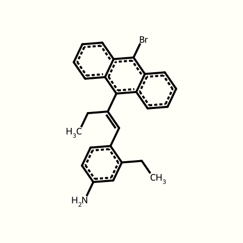 CCC(=Cc1ccc(N)cc1CC)c1c2ccccc2c(Br)c2ccccc12